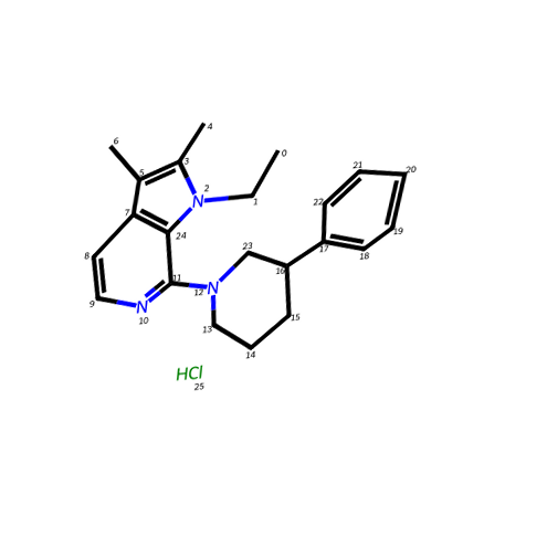 CCn1c(C)c(C)c2ccnc(N3CCCC(c4ccccc4)C3)c21.Cl